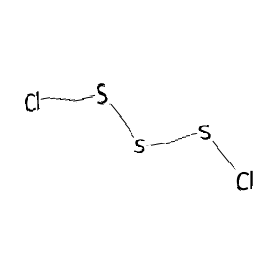 ClSSSCl